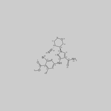 COC(=O)c1c(F)cc(Nc2nn([C@@H]3COCC[C@H]3C#N)cc2C(N)=O)cc1Br